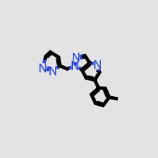 Cc1cccc(-c2cnc3cnn(Cc4cccnn4)c3c2)c1